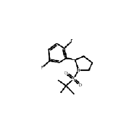 CC(C)(C)S(=O)(=O)N1[CH]CC[C@@H]1c1cc(F)ccc1F